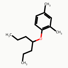 CCCC(CCC)Oc1ccc(C)cc1C